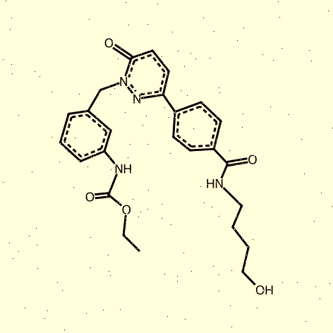 CCOC(=O)Nc1cccc(Cn2nc(-c3ccc(C(=O)NCCCCO)cc3)ccc2=O)c1